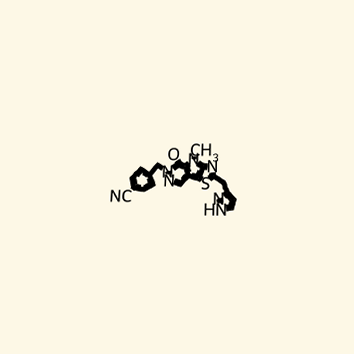 Cn1c2nc(Cc3cc[nH]n3)sc2c2cnn(Cc3ccc(C#N)cc3)c(=O)c21